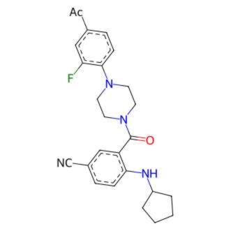 CC(=O)c1ccc(N2CCN(C(=O)c3cc(C#N)ccc3NC3CCCC3)CC2)c(F)c1